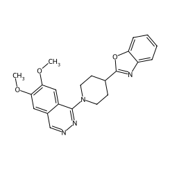 COc1cc2cnnc(N3CCC(c4nc5ccccc5o4)CC3)c2cc1OC